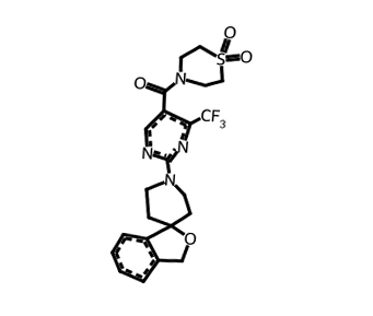 O=C(c1cnc(N2CCC3(CC2)OCc2ccccc23)nc1C(F)(F)F)N1CCS(=O)(=O)CC1